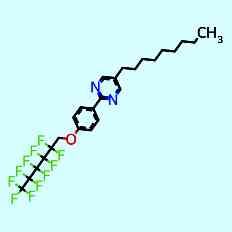 CCCCCCCCCc1cnc(-c2ccc(OCC(F)(F)C(F)(F)C(F)(F)C(F)(F)C(F)(F)F)cc2)nc1